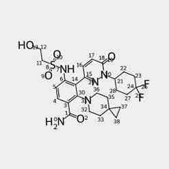 NC(=O)c1ccc(NS(=O)(=O)CCO)c(-c2ccc(=O)n(C3CCC(F)(F)CC3)n2)c1N1CCC2(CC1)CC2